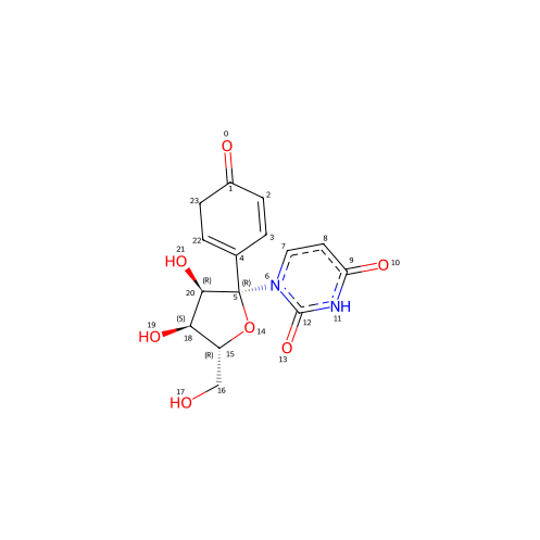 O=C1C=CC([C@@]2(n3ccc(=O)[nH]c3=O)O[C@H](CO)[C@@H](O)[C@H]2O)=CC1